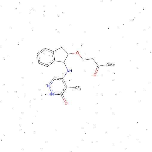 COC(=O)CCOC1Cc2ccccc2C1Nc1cn[nH]c(=O)c1C(F)(F)F